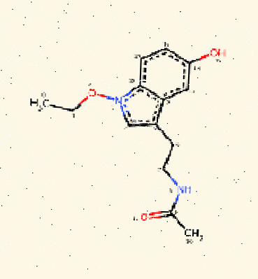 CCOn1cc(CCNC(C)=O)c2cc(O)ccc21